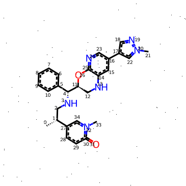 C[C@H](CN[C@H](c1ccccc1)[C@@H]1CNc2cc(-c3cnn(C)c3)cnc2O1)c1ccc(=O)n(C)c1